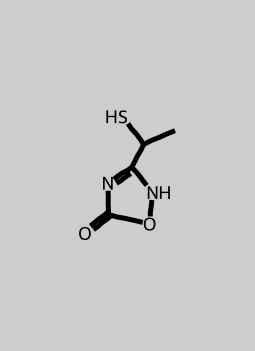 CC(S)c1nc(=O)o[nH]1